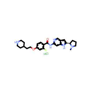 CN1CCC[C@@H]1c1cc2cnc(NC(=O)c3ccc(OCCC4CCNCC4)cc3F)cc2[nH]1.Cl